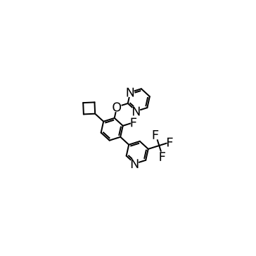 Fc1c(-c2cncc(C(F)(F)F)c2)ccc(C2CCC2)c1Oc1ncccn1